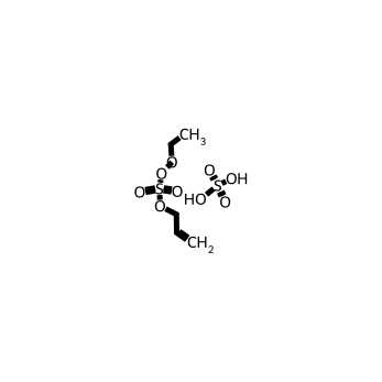 C=CCOS(=O)(=O)OOCC.O=S(=O)(O)O